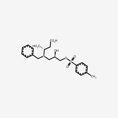 Cc1ccc(S(=O)(=O)OC[C@H](O)CN(Cc2ccccc2)[C@@H](CC(=O)O)C(=O)O)cc1